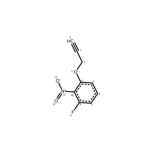 C#CCOc1cccc(F)c1[N+](=O)[O-]